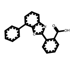 O=C(O)c1ccccc1-c1nc2cccc(-c3ccccc3)c2o1